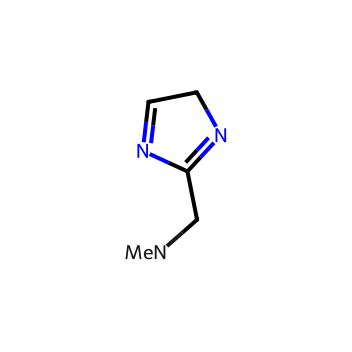 CNCC1=NCC=N1